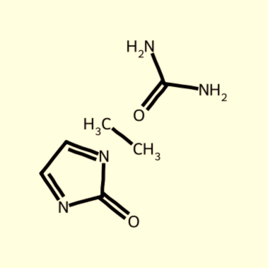 CC.NC(N)=O.O=C1N=CC=N1